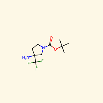 CC(C)(C)OC(=O)N1CC[C@@](N)(C(F)(F)F)C1